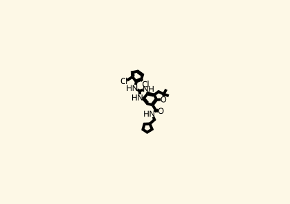 CC1(C)Cc2c3c(cc(C(=O)NCC4CCCC4)c2O1)NC(Nc1c(Cl)cccc1Cl)N3